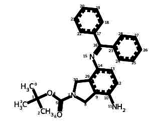 CC(C)(C)OC(=O)N1Cc2c(N)ccc(N=C(c3ccccc3)c3ccccc3)c2C1